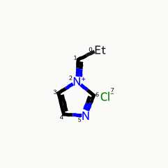 CCC=[N+]1C=CN=C1.[Cl-]